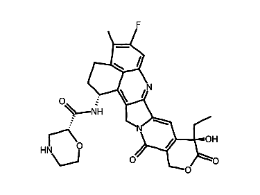 CC[C@]1(O)C(=O)OCc2c1cc1n(c2=O)Cc2c-1nc1cc(F)c(C)c3c1c2[C@H](NC(=O)[C@H]1CNCCO1)CC3